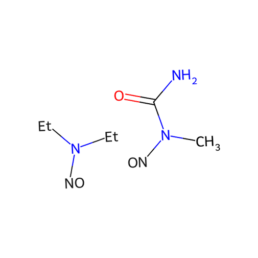 CCN(CC)N=O.CN(N=O)C(N)=O